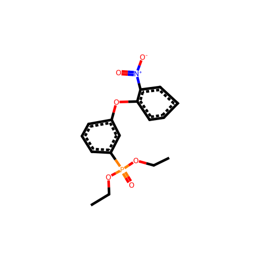 CCOP(=O)(OCC)c1cccc(Oc2ccccc2[N+](=O)[O-])c1